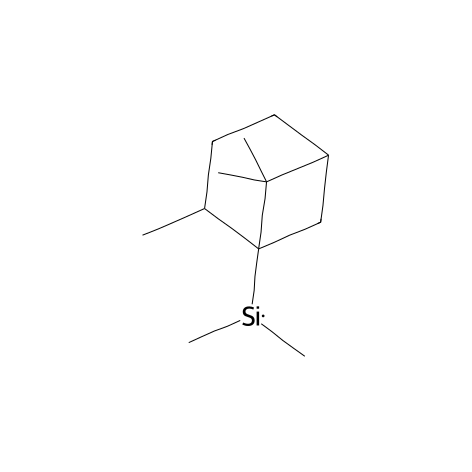 CC1CCC2CC1([Si](C)C)C2(C)C